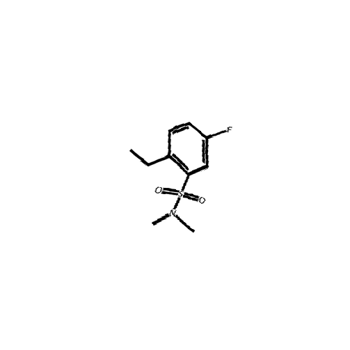 CCc1ccc(F)cc1S(=O)(=O)N(C)C